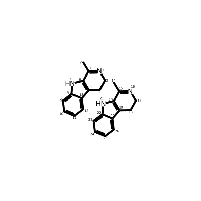 CC1=NCCc2c1[nH]c1ccccc21.CC1=NCCc2c1[nH]c1ccccc21